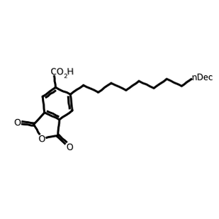 CCCCCCCCCCCCCCCCCCc1cc2c(cc1C(=O)O)C(=O)OC2=O